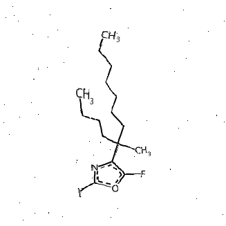 CCCCCCCC(C)(CCCC)c1nc(I)oc1F